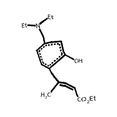 CCOC(=O)C=C(C)c1ccc(N(CC)CC)cc1O